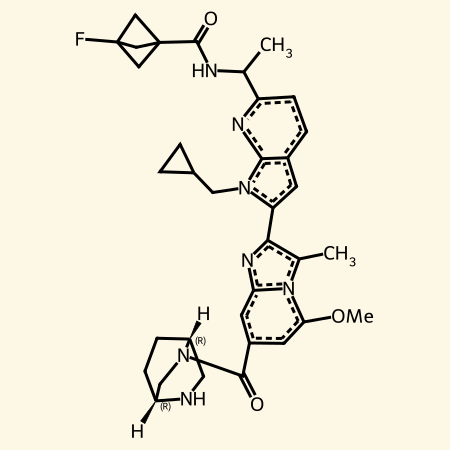 COc1cc(C(=O)N2C[C@H]3CC[C@@H]2CN3)cc2nc(-c3cc4ccc(C(C)NC(=O)C56CC(F)(C5)C6)nc4n3CC3CC3)c(C)n12